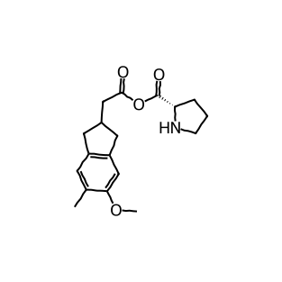 COc1cc2c(cc1C)CC(CC(=O)OC(=O)[C@@H]1CCCN1)C2